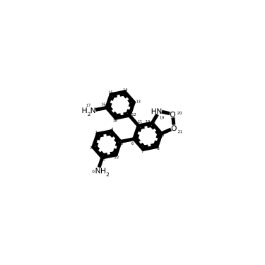 Nc1cccc(-c2ccc3c(c2-c2cccc(N)c2)NOO3)c1